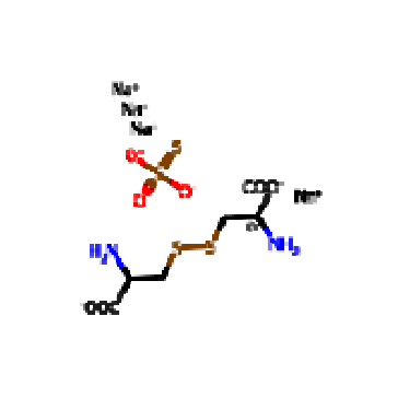 NC(CSSC[C@H](N)C(=O)[O-])C(=O)[O-].O=S([O-])([O-])=S.[Na+].[Na+].[Na+].[Na+]